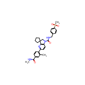 CNC(=O)c1ccc(-c2ccc3c(n2)C2(CCCC2)CN3C(=O)NCc2ccc(S(C)(=O)=O)cc2)c(C)c1